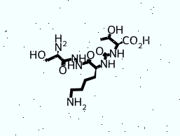 CC(O)[C@H](NC(=O)N[C@@H](CCCCN)C(=O)NNC(=O)[C@@H](N)CO)C(=O)O